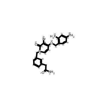 NC(=O)Cc1cccc(Cn2ccc(OCc3ccc(P)cc3P)c(Br)c2=O)c1